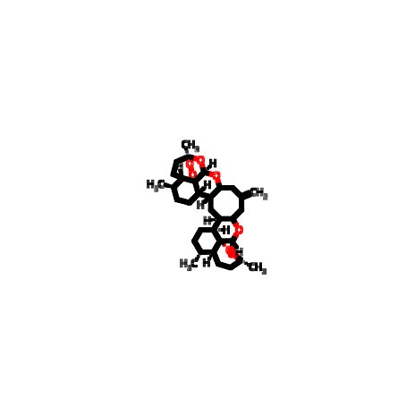 C=C1CC2O[C@@H]3O[C@]4(C)CC[C@H]5[C@H](C)CC[C@@H]([C@H]2C[C@H]2C(C1)O[C@@H]1O[C@]6(C)CC[C@H]7[C@H](C)CC[C@@H]2[C@@]17OO6)[C@@]35OO4